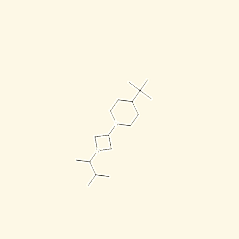 CC(C)C(C)N1CC(N2CCC(C(C)(C)C)CC2)C1